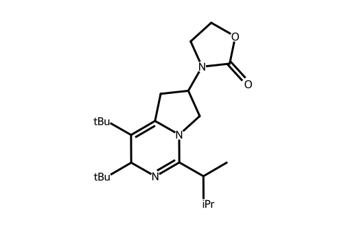 CC(C)C(C)C1=NC(C(C)(C)C)C(C(C)(C)C)=C2CC(N3CCOC3=O)CN12